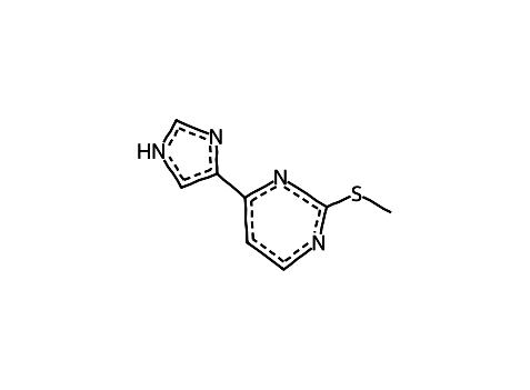 CSc1nccc(-c2c[nH]cn2)n1